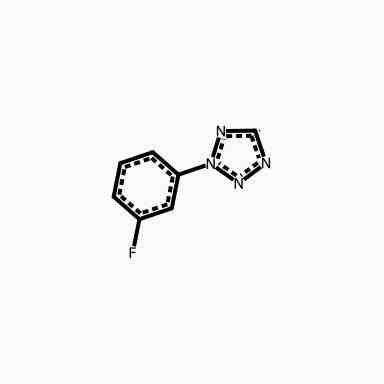 Fc1cccc(-n2n[c]nn2)c1